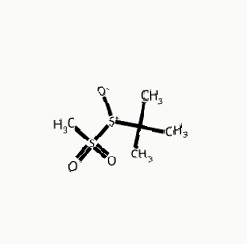 CC(C)(C)[S+]([O-])S(C)(=O)=O